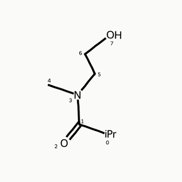 CC(C)C(=O)N(C)CCO